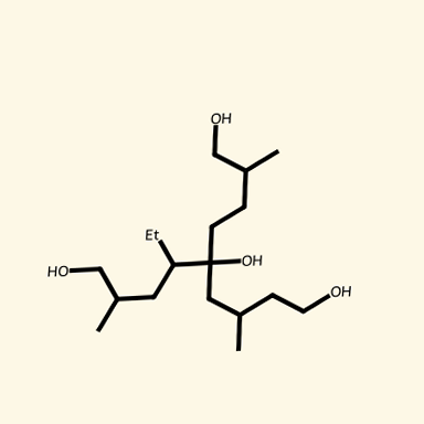 CCC(CC(C)CO)C(O)(CCC(C)CO)CC(C)CCO